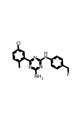 Cc1ccc(Cl)cc1-c1nc(N)nc(Nc2ccc(CF)cc2)n1